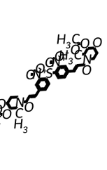 CC(=O)OC1C(O)CCN(C(=O)/C=C/c2ccc(Sc3ccc(/C=C/C(=O)N4CCC(O)C(OC(C)=O)C4C)cc3[N+](=O)[O-])c([N+](=O)[O-])c2)C1C